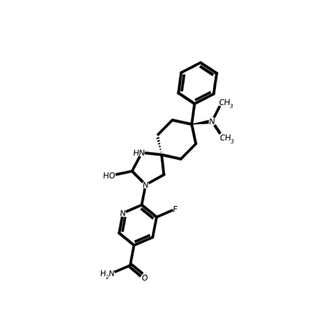 CN(C)[C@]1(c2ccccc2)CC[C@]2(CC1)CN(c1ncc(C(N)=O)cc1F)C(O)N2